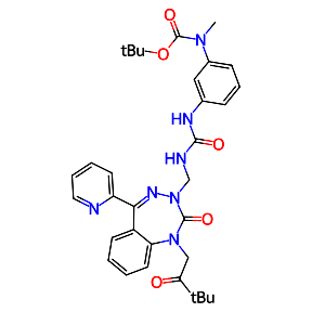 CN(C(=O)OC(C)(C)C)c1cccc(NC(=O)NCN2N=C(c3ccccn3)c3ccccc3N(CC(=O)C(C)(C)C)C2=O)c1